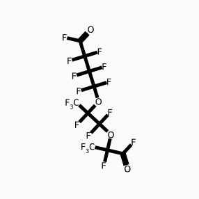 O=C(F)C(F)(F)C(F)(F)C(F)(F)OC(F)(C(F)(F)F)C(F)(F)OC(F)(C(=O)F)C(F)(F)F